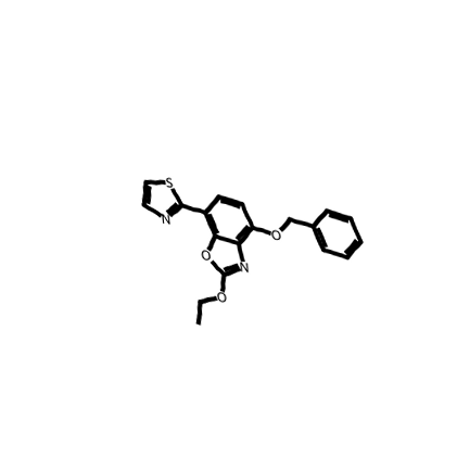 CCOc1nc2c(OCc3ccccc3)ccc(-c3nccs3)c2o1